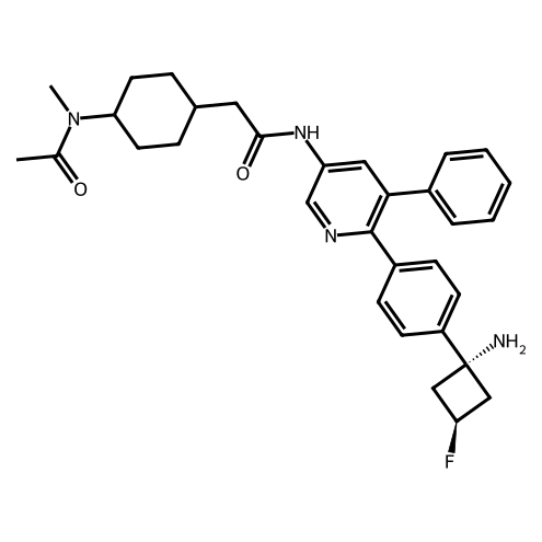 CC(=O)N(C)C1CCC(CC(=O)Nc2cnc(-c3ccc([C@]4(N)C[C@H](F)C4)cc3)c(-c3ccccc3)c2)CC1